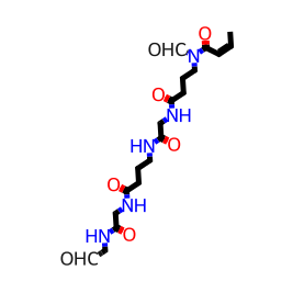 C/C=C\C(=O)N(C=O)CCCC(=O)NCC(=O)NCCCC(=O)NCC(=O)NCC=O